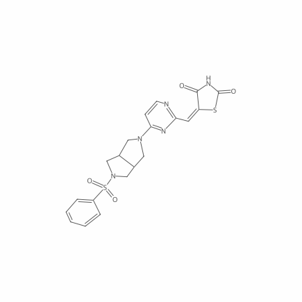 O=C1NC(=O)/C(=C\c2nccc(N3CC4CN(S(=O)(=O)c5ccccc5)CC4C3)n2)S1